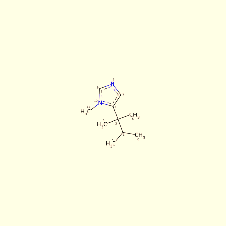 CC(C)C(C)(C)c1cncn1C